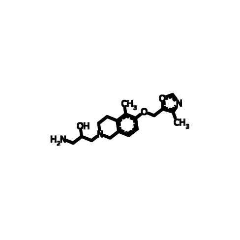 Cc1ncoc1COc1ccc2c(c1C)CCN(CC(O)CN)C2